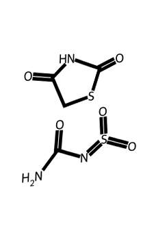 NC(=O)N=S(=O)=O.O=C1CSC(=O)N1